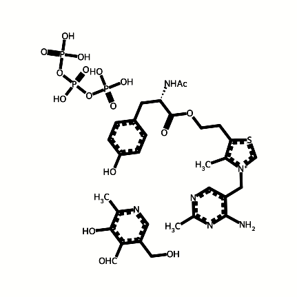 CC(=O)N[C@@H](Cc1ccc(O)cc1)C(=O)OCCc1sc[n+](Cc2cnc(C)nc2N)c1C.Cc1ncc(CO)c(C=O)c1O.O=P(O)(O)OP(=O)(O)OP(=O)(O)O